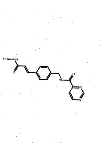 O=C(/C=C/c1ccc(CNC(=O)c2ccncn2)cc1)NO